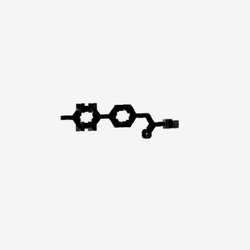 CCC(C)C(=O)Cc1ccc(-c2nnc(C)nn2)cc1